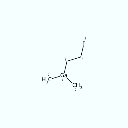 [CH3][Ga]([CH3])[CH2]CF